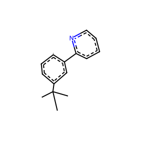 CC(C)(C)c1cc[c]c(-c2ccccn2)c1